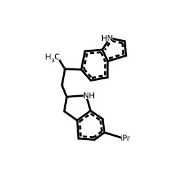 CC(C)c1ccc2c(c1)NC(CC(C)c1ccc3cc[nH]c3c1)C2